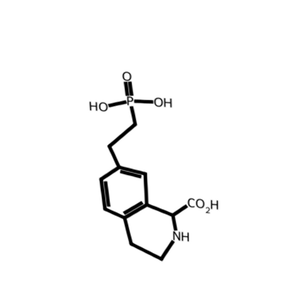 O=C(O)C1NCCc2ccc(CCP(=O)(O)O)cc21